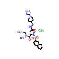 CCCCN(CC(=O)O)C(=O)[C@H](CC(=O)NCC1CCN(C=NN)CC1)NS(=O)(=O)c1ccc2ccccc2c1.Cl